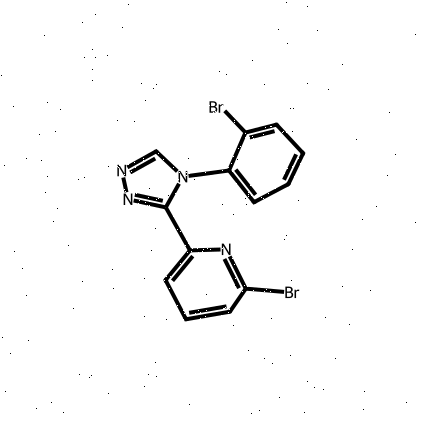 Brc1cccc(-c2nncn2-c2ccccc2Br)n1